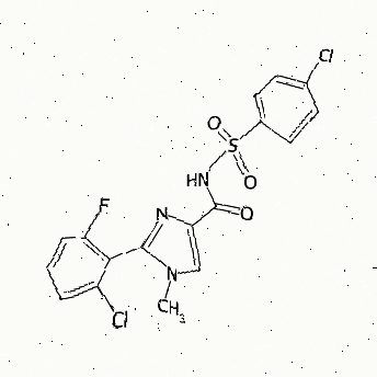 Cn1cc(C(=O)NS(=O)(=O)c2ccc(Cl)cc2)nc1-c1c(F)cccc1Cl